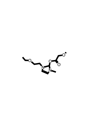 CCOCCN1C=CN(C)C1OC(=O)COC